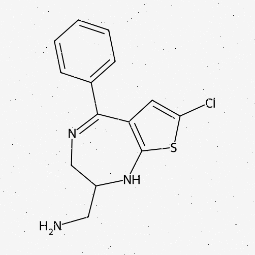 NCC1CN=C(c2ccccc2)c2cc(Cl)sc2N1